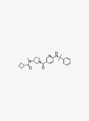 CN(C(=O)C1CCC1)[C@H]1CCN(C(=O)c2ccc(NC(C)(C)c3ccccc3)nc2)C1